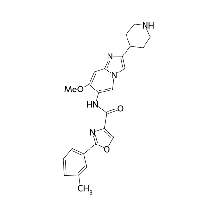 COc1cc2nc(C3CCNCC3)cn2cc1NC(=O)c1coc(-c2cccc(C)c2)n1